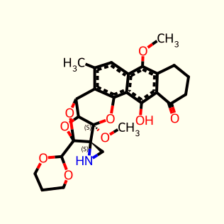 COc1c2c(c(O)c3c4c(c(C)cc13)C1OC3(C5OCCCO5)OC1[C@@](OC)(O4)[C@@]31CN1)C(=O)CCC2